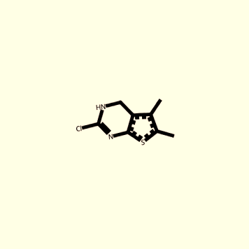 Cc1sc2c(c1C)CNC(Cl)=N2